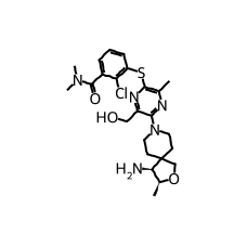 Cc1nc(N2CCC3(CC2)CO[C@@H](C)[C@H]3N)c(CO)nc1Sc1cccc(C(=O)N(C)C)c1Cl